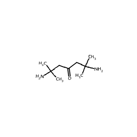 CC(C)(N)CC(=O)CC(C)(C)N